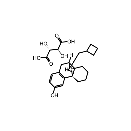 O=C(O)[C@H](O)[C@@H](O)C(=O)O.Oc1ccc2c(c1)[C@@]13CCCC[C@@]1(O)[C@@H](C2)N(CC1CCC1)CC3